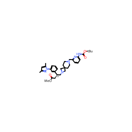 COC(=O)C[C@H](CN1CC2(CCN(Cc3cccc(NC(=O)OC(C)(C)C)n3)CC2)C1)c1cccc(-n2nc(C)cc2C)c1